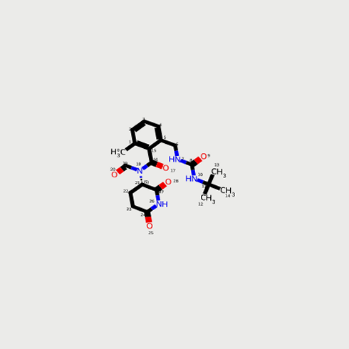 Cc1cccc(CNC(=O)NC(C)(C)C)c1C(=O)N(C=O)[C@H]1CCC(=O)NC1=O